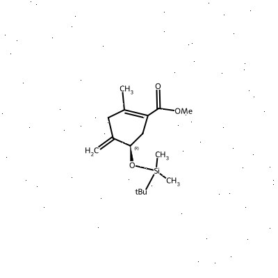 C=C1CC(C)=C(C(=O)OC)C[C@H]1O[Si](C)(C)C(C)(C)C